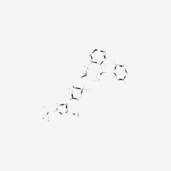 CC1(c2nc(-c3nnc(N[C@H]4N=C(c5ccccc5)c5ccccc5NC4=O)o3)c(N)s2)CC1